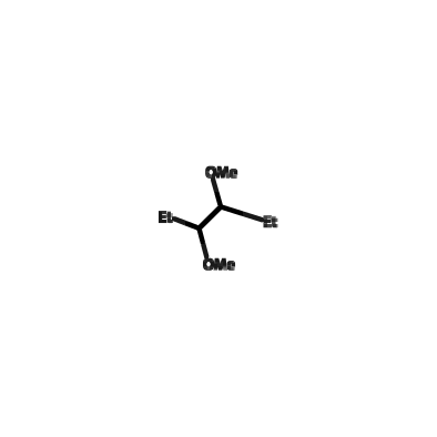 CCC(OC)C(CC)OC